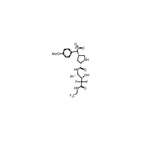 COc1ccc(C([C@H]2CN[C@H](C(=O)N[C@@H](C(C)C)[C@@H](O)C(F)(F)C(=O)NCC(F)(F)F)C2)[SH](=O)=O)cc1